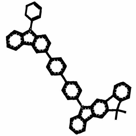 CC1(C)c2ccccc2-c2cc3c(cc21)c1ccccc1n3-c1ccc(-c2ccc(-c3ccc4c(c3)c3ccccc3n4C3=CC=CCC3)cc2)cc1